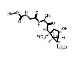 CCOC(=O)[C@H]1[C@H]2[C@@H]1[C@](NC(=O)[C@H](C)NC(=O)CNC(=O)OC(C)(C)C)(C(=O)OCC)C[C@@H]2O